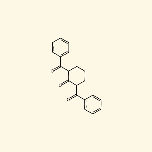 O=C(c1ccccc1)C1CCCC(C(=O)c2ccccc2)C1=O